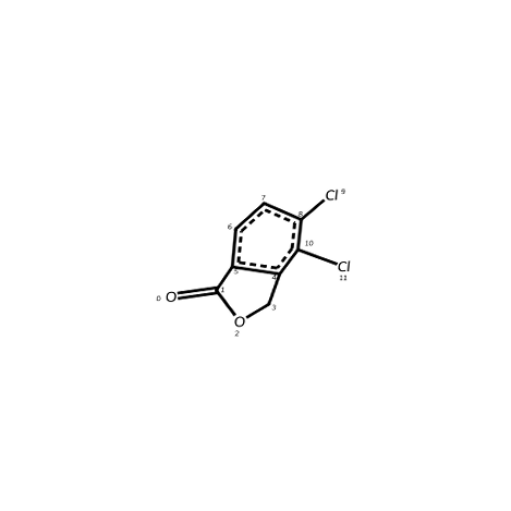 O=C1OCc2c1ccc(Cl)c2Cl